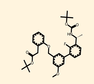 COc1cc(COc2ccccc2CC(=O)OC(C)(C)C)cc(-c2cccc([C@@H](C)NC(=O)OC(C)(C)C)c2F)c1